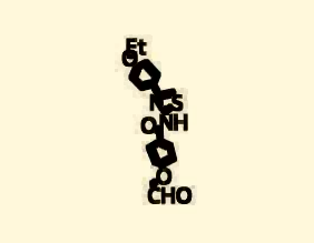 CCOc1ccc(-c2csc(NC(=O)c3ccc(OCC=O)cc3)n2)cc1